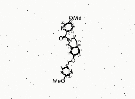 COc1ccc(COc2ccc3c(c2)CN(C(=O)c2cnc(OC)cn2)CC3)nc1